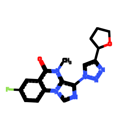 Cn1c(=O)c2cc(F)ccc2n2cnc(-n3cc(C4CCCO4)nn3)c12